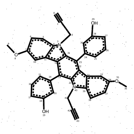 C#CCn1c2ccc(OC)cc2c2c(-c3cccc(O)c3)c3c(c(-c4cccc(O)c4)c21)c1cc(OC)ccc1n3CC#C